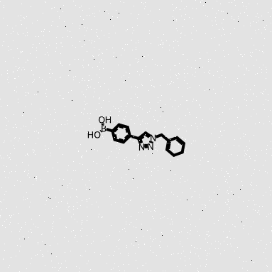 OB(O)c1ccc(-c2cn(CC3=CCCC=C3)nn2)cc1